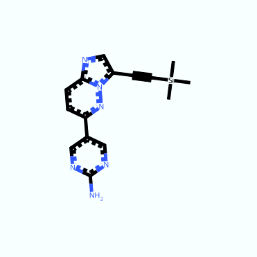 C[Si](C)(C)C#Cc1cnc2ccc(-c3cnc(N)nc3)nn12